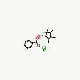 CC1=C(C)C(C)(C)[C]([Ti+2][O]C(=O)c2ccccc2)=C1C.[Cl-].[Cl-]